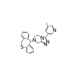 Cc1cncc(-c2nnc3n2CCN(C2c4ccccc4CSc4ccccc42)C3)c1